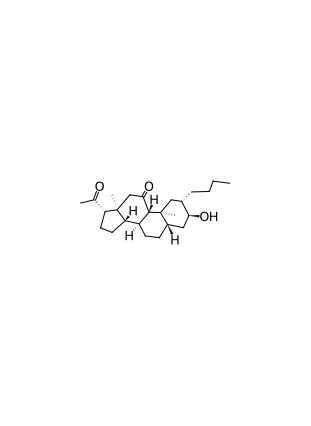 CCCC[C@H]1C[C@@]2(C)[C@@H](CC[C@H]3[C@@H]4CC[C@H](C(C)=O)[C@@]4(C)CC(=O)[C@@H]32)C[C@@H]1O